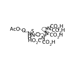 CC(=O)OCCOCCNC(=S)Nc1ccc(C[C@@H](CN(CC(=O)O)[C@@H]2CCCC[C@H]2N(CC(=O)O)CC(=O)O)N(CC(=O)O)CC(=O)O)cc1